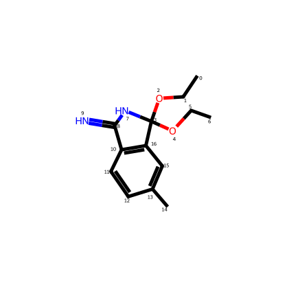 CCOC1(OCC)NC(=N)c2ccc(C)cc21